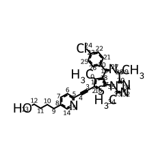 Cc1c(C#Cc2ccc(CCCCO)cn2)sc2c1C(c1ccc(Cl)cc1)=N[C@@H](C)c1nnc(C)n1-2